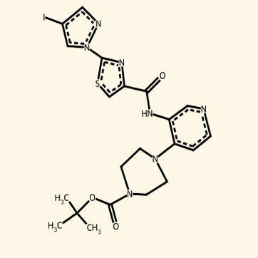 CC(C)(C)OC(=O)N1CCN(c2ccncc2NC(=O)c2csc(-n3cc(I)cn3)n2)CC1